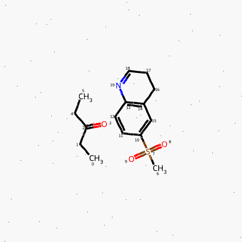 CCC(=O)CC.CS(=O)(=O)c1ccc2c(c1)CCC=N2